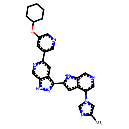 Cc1cn(-c2cncc3[nH]c(-c4n[nH]c5cnc(-c6cncc(OC7CCCCC7)c6)cc45)cc23)cn1